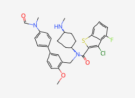 CN[C@H]1CC[C@@H](N(Cc2cc(-c3ccc(N(C)C=O)cc3)ccc2OC)C(=O)c2sc3cccc(F)c3c2Cl)CC1